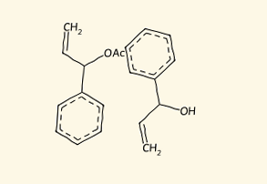 C=CC(O)c1ccccc1.C=CC(OC(C)=O)c1ccccc1